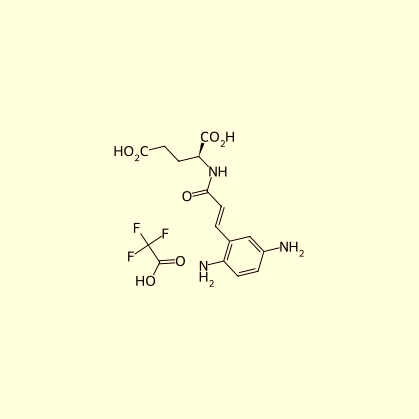 Nc1ccc(N)c(C=CC(=O)N[C@@H](CCC(=O)O)C(=O)O)c1.O=C(O)C(F)(F)F